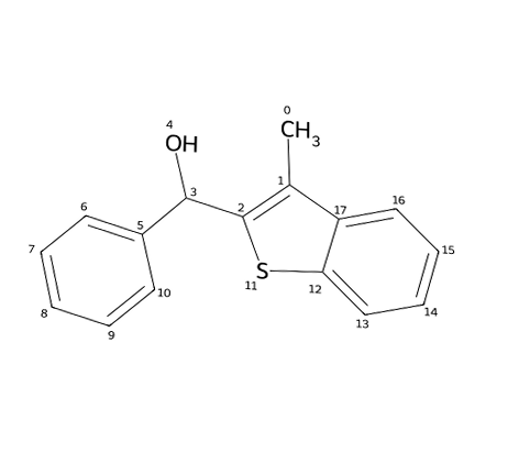 Cc1c(C(O)c2ccccc2)sc2ccccc12